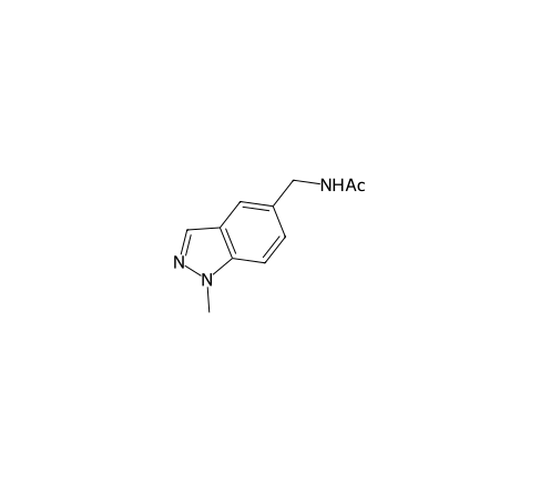 CC(=O)NCc1ccc2c(cnn2C)c1